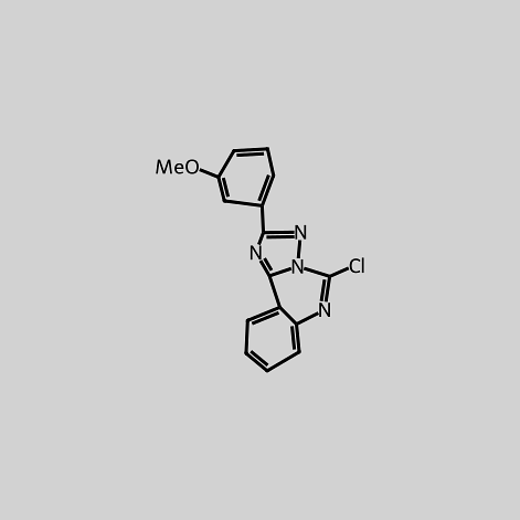 COc1cccc(-c2nc3c4ccccc4nc(Cl)n3n2)c1